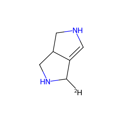 [2H]C1NCC2CNC=C21